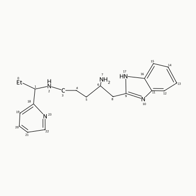 CCC(NCCCC(N)Cc1nc2ccccc2[nH]1)c1ccccn1